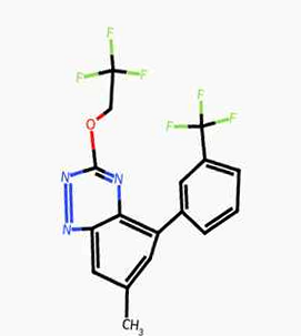 Cc1cc(-c2cccc(C(F)(F)F)c2)c2nc(OCC(F)(F)F)nnc2c1